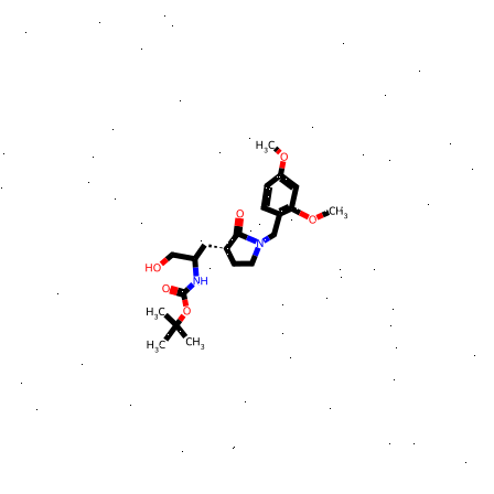 COc1ccc(CN2CC[C@H](CC(CO)NC(=O)OC(C)(C)C)C2=O)c(OC)c1